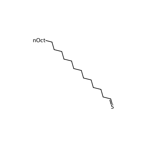 CCCCCCCCCCCCCCCCCCCCC=S